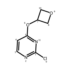 Clc1nccc(OC2COC2)n1